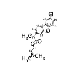 CC(C(=O)OCCN(C)C)c1ccc2c(c1)oc1ccc(Cl)cc12